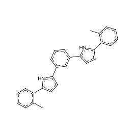 Cc1ccccc1-c1ccc(-c2cccc(-c3ccc(-c4ccccc4C)[nH]3)c2)[nH]1